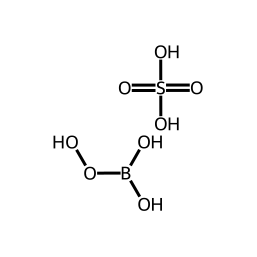 O=S(=O)(O)O.OOB(O)O